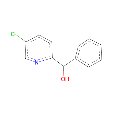 OC(c1ccccc1)c1ccc(Cl)cn1